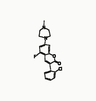 CN1CCN(c2cc(F)c3cc(-c4ccccc4Cl)c(=O)oc3c2)CC1